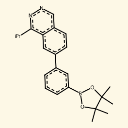 CC(C)c1nncc2ccc(-c3cccc(B4OC(C)(C)C(C)(C)O4)c3)cc12